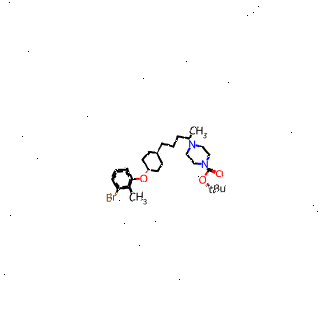 Cc1c(Br)cccc1O[C@H]1CC[C@H](CCCC(C)N2CCN(C(=O)OC(C)(C)C)CC2)CC1